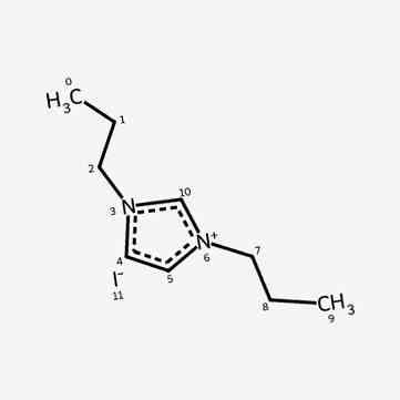 CCCn1cc[n+](CCC)c1.[I-]